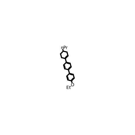 CCCC1CC=C(c2ccc(-c3ccc(OCC)cc3)cc2)CC1